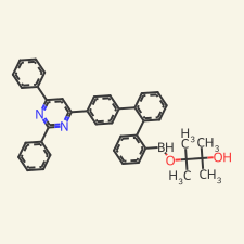 CC(C)(O)C(C)(C)OBc1ccccc1-c1ccccc1-c1ccc(-c2cc(-c3ccccc3)nc(-c3ccccc3)n2)cc1